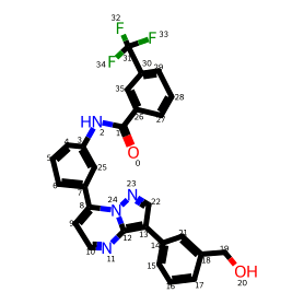 O=C(Nc1cccc(-c2ccnc3c(-c4cccc(CO)c4)cnn23)c1)c1cccc(C(F)(F)F)c1